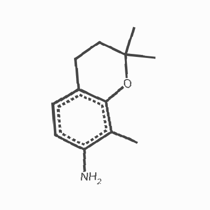 Cc1c(N)ccc2c1OC(C)(C)CC2